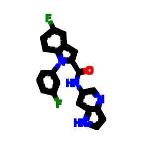 O=C(Nc1cnc2cc[nH]c2c1)c1cc2cc(F)ccc2n1-c1cccc(F)c1